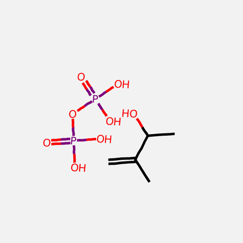 C=C(C)C(C)O.O=P(O)(O)OP(=O)(O)O